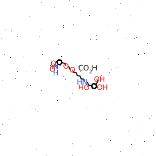 CC(=O)O.CS(=O)(=O)Nc1cccc(COCCOCCCCCCNC[C@H](O)c2ccc(O)c(CO)c2)c1